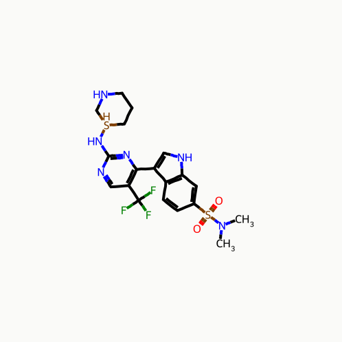 CN(C)S(=O)(=O)c1ccc2c(-c3nc(N[SH]4CCCNC4)ncc3C(F)(F)F)c[nH]c2c1